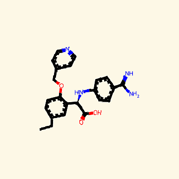 CCc1ccc(OCc2ccncc2)c([C@@H](Nc2ccc(C(=N)N)cc2)C(=O)O)c1